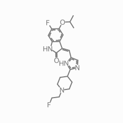 CC(C)Oc1cc2c(cc1F)NC(=O)C2=Cc1cnc(C2CCN(CCF)CC2)[nH]1